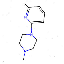 [CH2]c1cccc(N2CCN(C)CC2)n1